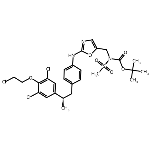 C[C@H](Cc1ccc(Nc2ncc(CN(C(=O)OC(C)(C)C)S(C)(=O)=O)o2)cc1)c1cc(Cl)c(OCCCl)c(Cl)c1